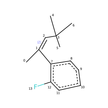 C/C(=C/C(C)(C)C)c1ccccc1F